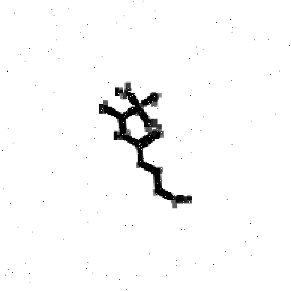 CCCCCCCCCCCC(=O)NC(CC)[N+](C)(C)[O-]